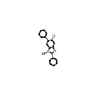 CCn1c(-c2ccccc2)nc2cc([O])c(-c3ccccc3)cc21